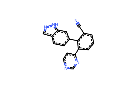 N#Cc1cccc(-c2ccncn2)c1-c1ccc2cn[nH]c2c1